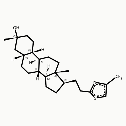 C[C@@]1(O)CC[C@H]2[C@H](CC[C@@H]3[C@@H]2CC[C@]2(C)[C@@H](CCc4nc(C(F)(F)F)cs4)CC[C@@H]32)C1